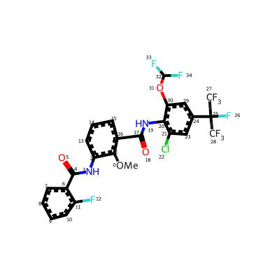 COc1c(NC(=O)c2ccccc2F)cccc1C(=O)Nc1c(Cl)cc(C(F)(C(F)(F)F)C(F)(F)F)cc1OC(F)F